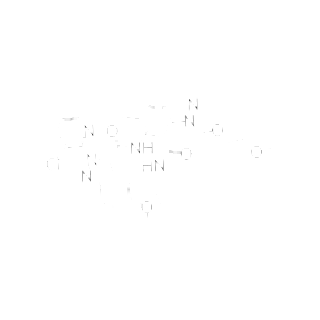 CCCNC(=O)c1c(NC(=O)c2c3cc(OC)ccc3nn2-c2ncccc2Cl)c(C)cc2cnn(COCCOC)c12